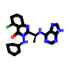 C[C@H](Nc1ncnc2[nH]cnc12)c1nc2cccc(F)c2c(=O)n1Nc1ccccc1